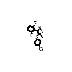 Cc1nn(C)c(-c2c(F)cccc2F)c1Sc1ccc(Cl)cc1